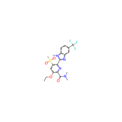 CCOc1cc(S(C)(=O)=O)c(-c2nc3cc(C(F)(F)F)ccc3n2C)nc1C(=O)N(C)C